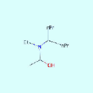 CCCC(CCC)N(CC)C(C)O